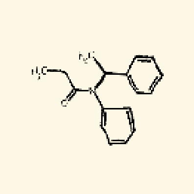 CCC(=O)N(c1ccccc1)C(C)c1ccccc1